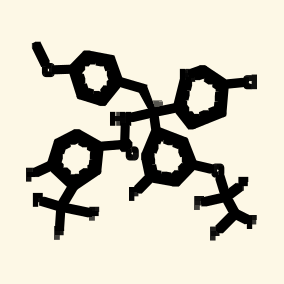 COc1ccc(C[C@](NC(=O)c2ccc(F)c(C(F)(F)F)c2)(c2cc(F)cc(OC(F)(F)C(F)F)c2)c2ccc(Cl)cn2)cc1